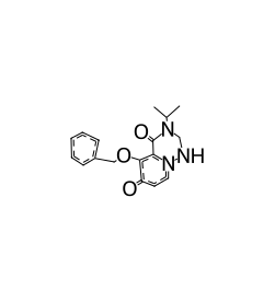 CC(C)N1CNn2ccc(=O)c(OCc3ccccc3)c2C1=O